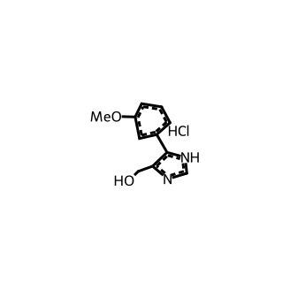 COc1cccc(-c2[nH]cnc2CO)c1.Cl